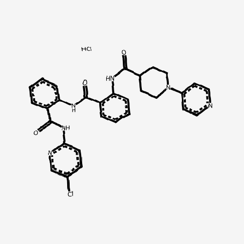 Cl.O=C(Nc1ccc(Cl)cn1)c1ccccc1NC(=O)c1ccccc1NC(=O)C1CCN(c2ccncc2)CC1